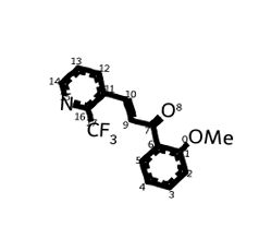 COc1ccccc1C(=O)C=Cc1cccnc1C(F)(F)F